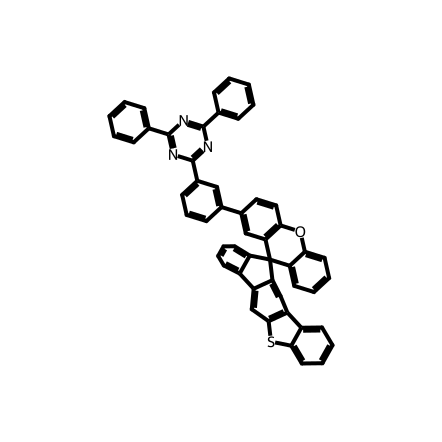 c1ccc(-c2nc(-c3ccccc3)nc(-c3cccc(-c4ccc5c(c4)C4(c6ccccc6O5)c5ccccc5-c5cc6sc7ccccc7c6cc54)c3)n2)cc1